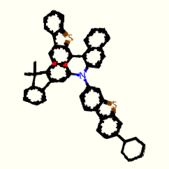 CC1(C)c2ccccc2-c2cc(N(c3ccc4c(c3)sc3cc(C5CCCCC5)ccc34)c3ccc4ccccc4c3-c3cccc4c3sc3ccccc34)ccc21